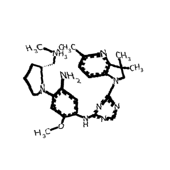 COc1cc(N2CCC[C@@H]2CN(C)C)c(N)cc1Nc1ncnc(N2CC(C)(C)c3nc(C)ccc32)n1